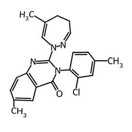 CC1=CN(c2nc3ccc(C)cc3c(=O)n2-c2ccc(C)cc2Cl)N=CCC1